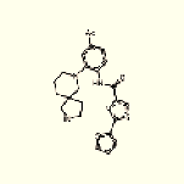 CC(=O)c1ccc(NC(=O)c2csc(-c3cccs3)n2)c(N2CCCC3(CCNC3)C2)c1